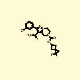 NC(=O)c1c(-c2cccc(Cl)c2)nn2c1CN(C(=O)NC1CC3(C1)CC3(F)F)CC2